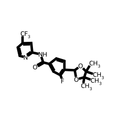 CC1(C)OC(c2ccc(C(=O)Nc3cc(C(F)(F)F)ccn3)cc2F)OC1(C)C